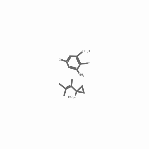 CC(C)=C(C)C1(C(=O)O)CC1.Nc1cc(Cl)cc(C(=O)O)c1Cl